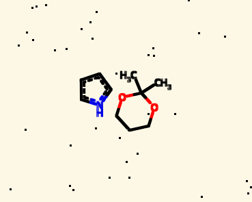 CC1(C)OCCCO1.c1cc[nH]c1